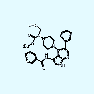 CC(C)(C)OC(=O)N(CC=O)N1CCN(c2c(-c3ccccc3)cnc3[nH]cc(NC(=O)c4cccnc4)c23)CC1